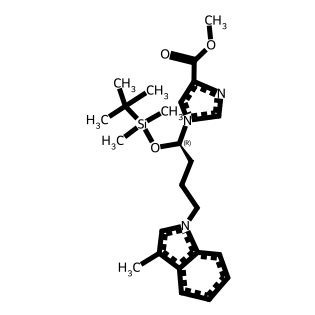 COC(=O)c1cn([C@@H](CCCn2cc(C)c3ccccc32)O[Si](C)(C)C(C)(C)C)cn1